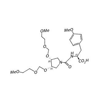 COCCOCO[C@H]1CN(C(=O)N[C@@H](Cc2ccc(OC)cc2)C(=O)O)C[C@H]1OCOCCOC